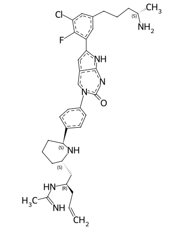 C=CC[C@H](C[C@@H]1CCC[C@@H](c2ccc(-n3cc4cc(-c5cc(CCC[C@H](C)N)cc(Cl)c5F)[nH]c4nc3=O)cc2)N1)NC(C)=N